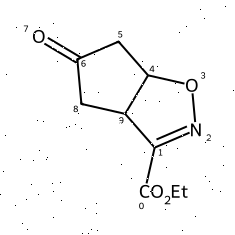 CCOC(=O)C1=NOC2CC(=O)CC12